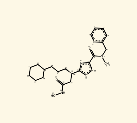 CN(Cc1ccccn1)C(=O)c1noc([C@H](CCCC2CCCCC2)CC(=O)NO)n1